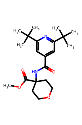 COC(=O)C1(NC(=O)c2cc(C(C)(C)C)nc(C(C)(C)C)c2)CCOCC1